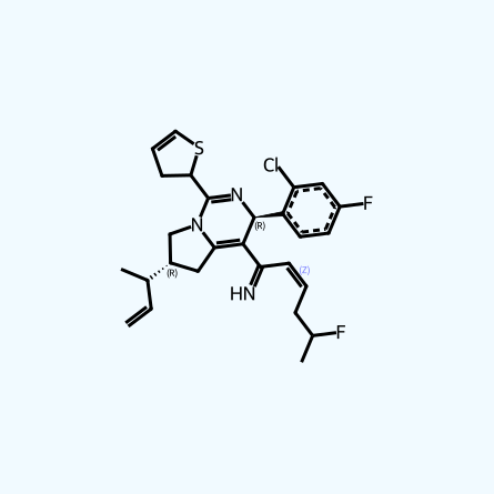 C=CC(C)[C@H]1CC2=C(C(=N)/C=C\CC(C)F)[C@H](c3ccc(F)cc3Cl)N=C(C3CC=CS3)N2C1